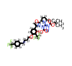 CC(C)(C)OC(=O)N/C(=N\C(=O)O)N1CCC[C@H]1c1nc(-c2ccc(OCC/C=C/c3ccc(C(F)(F)F)cc3)c(C(F)(F)F)c2)co1